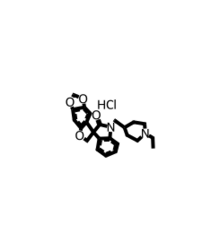 CCN1CCC(CN2C(=O)C3(COc4cc5c(cc43)OCO5)c3ccccc32)CC1.Cl